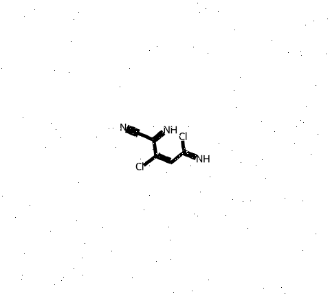 N#CC(=N)/C(Cl)=C\C(=N)Cl